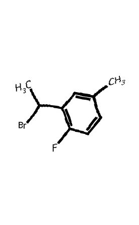 Cc1ccc(F)c(C(C)Br)c1